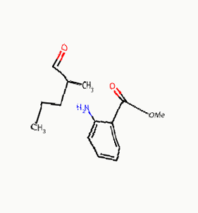 CCCC(C)C=O.COC(=O)c1ccccc1N